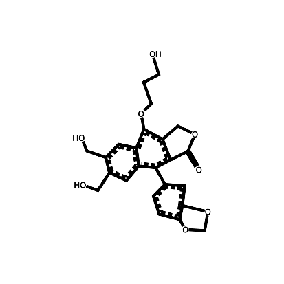 O=C1OCc2c1c(-c1ccc3c(c1)OCO3)c1cc(CO)c(CO)cc1c2OCCCO